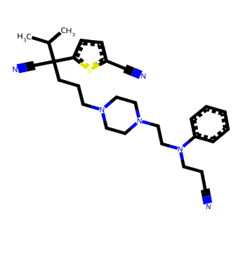 CC(C)C(C#N)(CCCN1CCN(CCN(CCC#N)c2ccccc2)CC1)c1ccc(C#N)s1